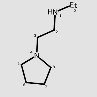 CCNCCN1CCCC1